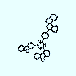 c1ccc2c(c1)ccc1cc(-c3ccc(-c4nc(-c5ccc6c(c5)oc5ccccc56)nc(-c5cccc6oc7ccccc7c56)n4)cc3)c3ccccc3c12